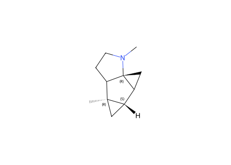 CN1CCC2[C@]13CC3[C@@H]1C[C@@]21C